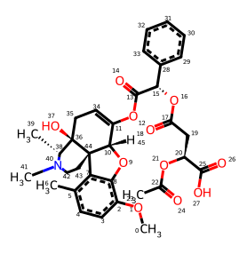 COc1ccc(C)c2c1O[C@H]1C(OC(=O)[C@@H](OC(=O)C[C@H](OC(C)=O)C(=O)O)c3ccccc3)=CC[C@@]3(O)[C@@H](C)N(C)CC[C@]213